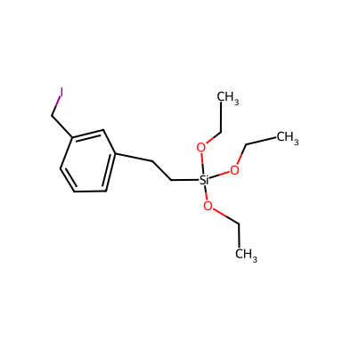 CCO[Si](CCc1cccc(CI)c1)(OCC)OCC